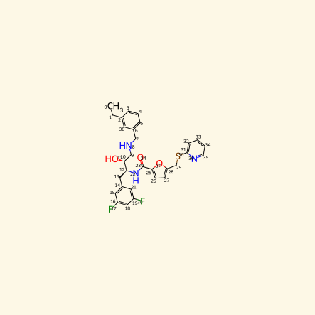 CCc1cccc(CNC[C@H](O)[C@H](Cc2cc(F)cc(F)c2)NC(=O)c2ccc(CSc3ccccn3)o2)c1